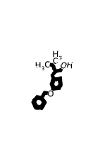 CC(C)C(CO)Cc1cccc(OCc2ccccc2)c1